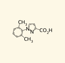 Cc1cccc(C)c1-n1ccc(C(=O)O)n1